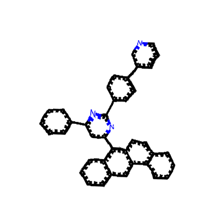 c1ccc(-c2cc(-c3c4ccccc4cc4c3ccc3ccccc34)nc(-c3ccc(-c4cccnc4)cc3)n2)cc1